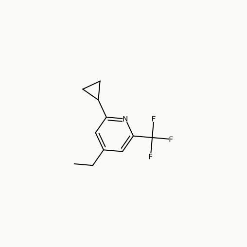 CCc1cc(C2CC2)nc(C(F)(F)F)c1